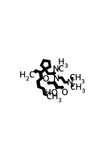 C=C/C(=C\C=C/CCC)C1(C/C(=N/C)N(CCN(C)C)/C(C=O)=C(/O)C=O)CCCC1